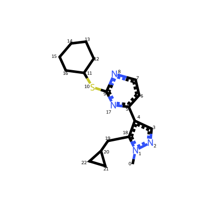 Cn1ncc(-c2ccnc(SC3CCCCC3)n2)c1CC1CC1